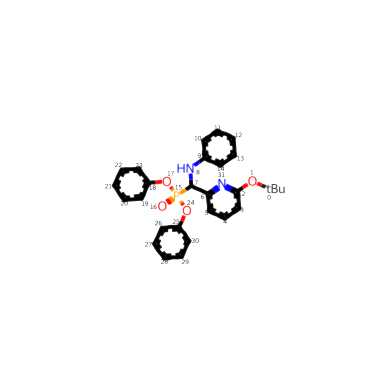 CC(C)(C)Oc1cccc(C(Nc2ccccc2)P(=O)(Oc2ccccc2)Oc2ccccc2)n1